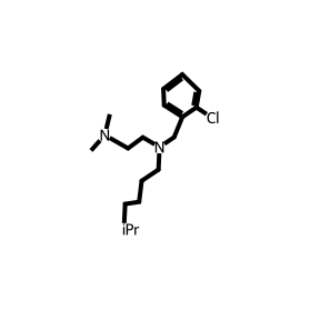 CC(C)CCCCN(CCN(C)C)Cc1ccccc1Cl